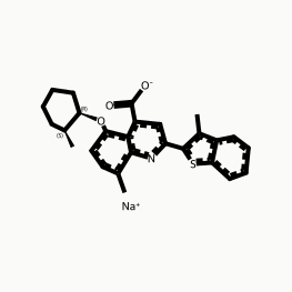 Cc1c(-c2cc(C(=O)[O-])c3c(O[C@@H]4CCCC[C@@H]4C)ccc(C)c3n2)sc2ccccc12.[Na+]